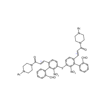 CC(=O)N1CCN(C(=O)/C=C/c2ccc(Sc3ccc(/C=C/C(=O)N4CCN(C(C)=O)CC4)c(-c4ccccc4C=O)c3[N+](=O)[O-])c([N+](=O)[O-])c2-c2ccccc2C=O)CC1